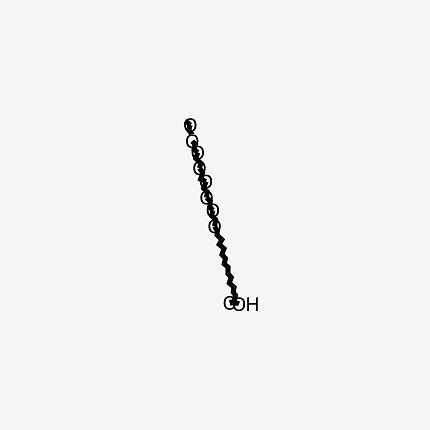 COCCOCCOCCOCCOCCOCCOCCOCCCCCCCCCCCCCCCC(=O)O